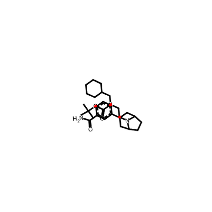 CC(C)(C)OC(=O)N(CCN1C2CCC1CC(c1cccc(C(N)=O)c1)C2)CC1CCCCC1